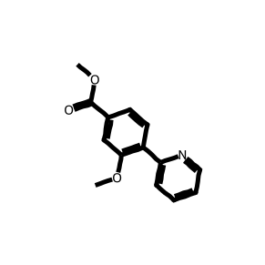 COC(=O)c1ccc(-c2ccccn2)c(OC)c1